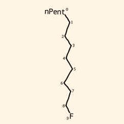 [CH2]CCCCCCCCCCCCF